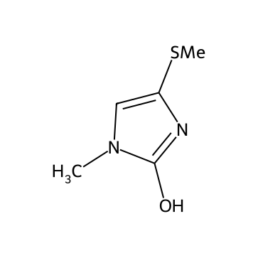 CSc1cn(C)c(O)n1